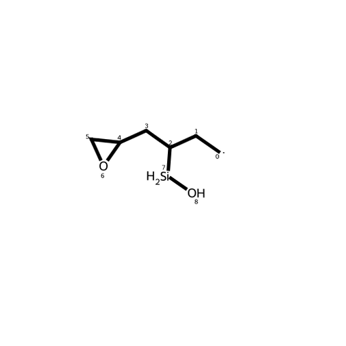 [CH2]CC(CC1CO1)[SiH2]O